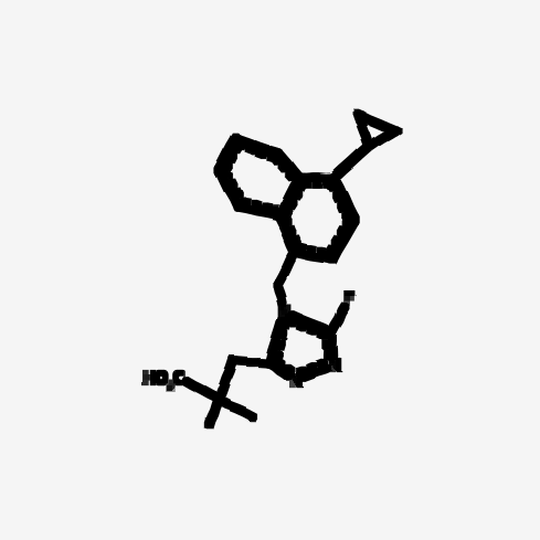 CC(C)(Cc1nnc(F)n1Cc1ccc(C2CC2)c2ccccc12)C(=O)O